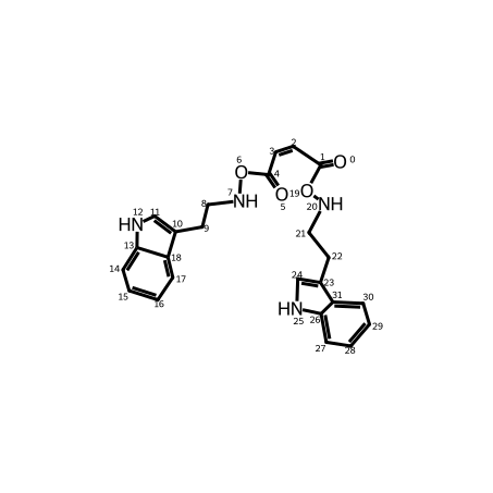 O=C(/C=C\C(=O)ONCCc1c[nH]c2ccccc12)ONCCc1c[nH]c2ccccc12